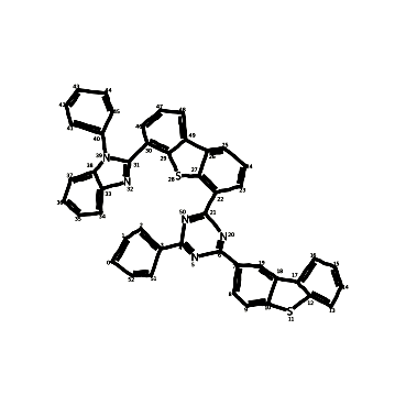 c1ccc(-c2nc(-c3ccc4sc5ccccc5c4c3)nc(-c3cccc4c3sc3c(-c5nc6ccccc6n5-c5ccccc5)cccc34)n2)cc1